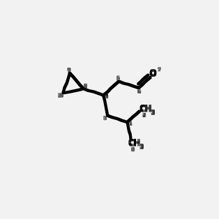 CC(C)CC(CC=O)C1CC1